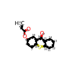 C=CC(=O)Oc1ccc2sc3ccccc3c(=O)c2c1